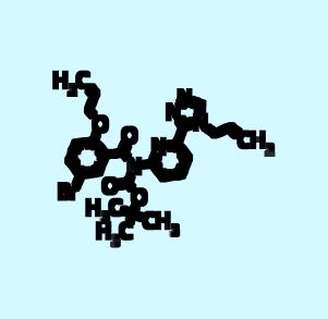 C=CCOc1ccc(Br)cc1C(=O)N(C(=O)OC(C)(C)C)c1cccc(-c2nncn2CC=C)n1